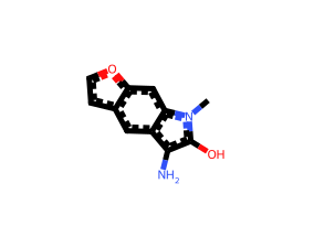 Cn1c(O)c(N)c2cc3ccoc3cc21